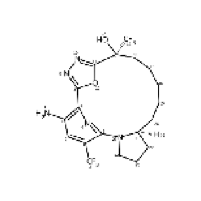 Nc1cc(C(F)(F)F)c2nc1-c1nnc(o1)[C@](O)(C(F)(F)F)CCCCC[C@H]1CCCN21